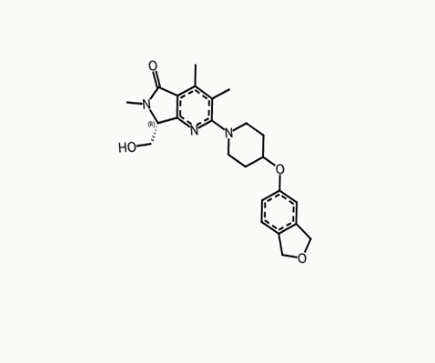 Cc1c(N2CCC(Oc3ccc4c(c3)COC4)CC2)nc2c(c1C)C(=O)N(C)[C@H]2CO